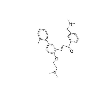 Cc1ccccc1-c1ccc(OCCN(C)C)c(C=CC(=O)c2cccc(CN(C)C)c2)c1